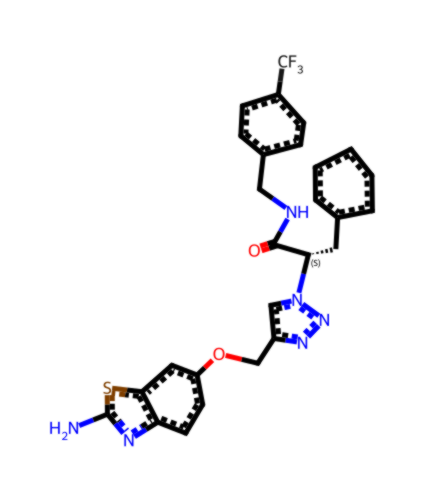 Nc1nc2ccc(OCc3cn([C@@H](Cc4ccccc4)C(=O)NCc4ccc(C(F)(F)F)cc4)nn3)cc2s1